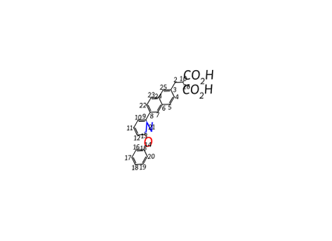 O=C(O)C(Cc1ccc2cc(-c3cccc(Oc4ccccc4)n3)ccc2c1)C(=O)O